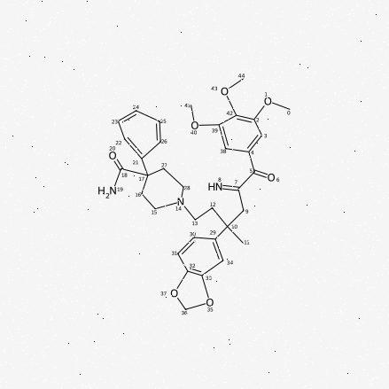 COc1cc(C(=O)C(=N)CC(C)(CCN2CCC(C(N)=O)(c3ccccc3)CC2)c2ccc3c(c2)OCO3)cc(OC)c1OC